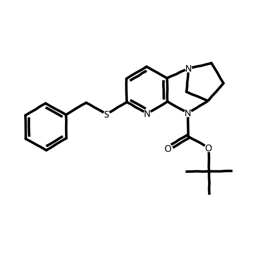 CC(C)(C)OC(=O)N1c2nc(SCc3ccccc3)ccc2N2CCC1C2